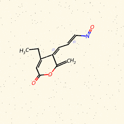 C=c1oc(=O)cc(CC)/c1=C/C=C/N=O